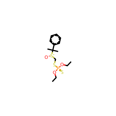 CCOP(=S)(OCC)SC[S+]([O-])C(C)(C)c1ccccc1